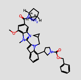 COc1cc(C(=O)N2C[C@H]3CC[C@@H]2[C@@H]3N)cc2nc(-c3cc4cccc(C5CCN(C(=O)OCc6ccccc6)C5)c4n3CC3CC3)n(C)c12